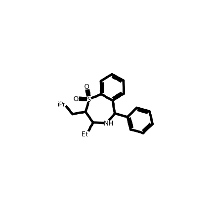 CCC1NC(c2ccccc2)c2ccccc2S(=O)(=O)C1CC(C)C